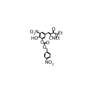 CCN(CC)C(=O)/C(C#N)=C/c1cc(OC(=O)OCc2ccc([N+](=O)[O-])cc2)c(O)c([N+](=O)[O-])c1